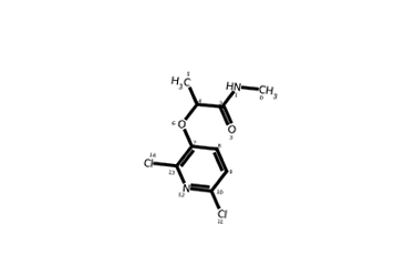 CNC(=O)C(C)Oc1ccc(Cl)nc1Cl